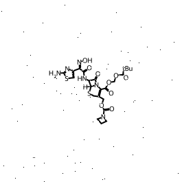 CC(C)(C)C(=O)OCOC(=O)C1=C(COC(=O)N2CCC2)CS[C@@H]2C(NC(=O)/C(=N\O)c3csc(N)n3)C(=O)N12